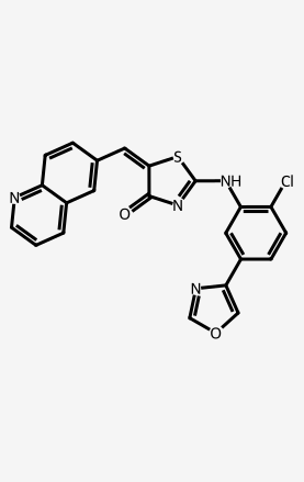 O=C1N=C(Nc2cc(-c3cocn3)ccc2Cl)SC1=Cc1ccc2ncccc2c1